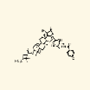 CC(C)C1=C2[C@H]3CC[C@@H]4[C@@]5(C)CC[C@H](OC(=O)[C@H]6C[C@@H](C(=O)O)C6(C)C)C(C)(C)[C@@H]5CC[C@@]4(C)[C@]3(C)CC[C@@]2(CC(=O)N[C@@H](CNC(=O)c2ccc(Cl)cc2)C(C)O)CC1=O